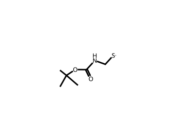 CC(C)(C)OC(=O)NC[S]